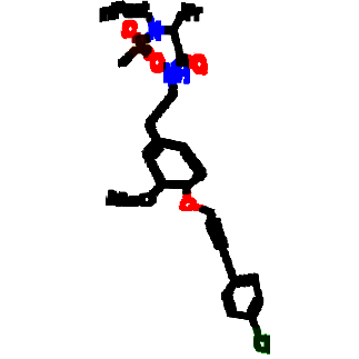 CCCCCN([C@H](C(=O)NCCc1ccc(OCC#Cc2ccc(Cl)cc2)c(OC)c1)C(C)C)S(C)(=O)=O